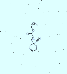 CCOC(=O)/C=C/C1(C#N)C=CC=CC1